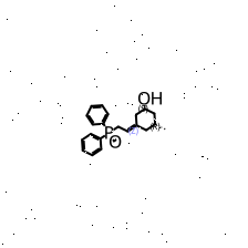 C[C@@H]1C/C(=C/CP(=O)(c2ccccc2)c2ccccc2)C[C@@H](O)C1